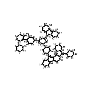 c1ccc(-c2cccc3oc4cc(-c5nc(-c6ccc(-n7c8ccccc8c8ccc9c(c%10ccccc%10n9-c9ccccc9)c87)cc6)nc(-n6c7ccccc7c7ccccc76)n5)ccc4c23)cc1